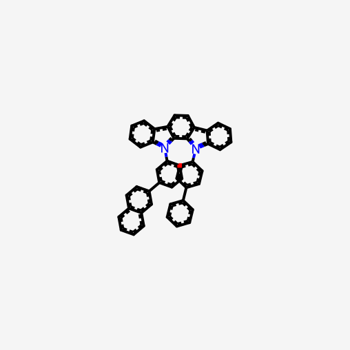 c1ccc(-c2ccc(-n3c4ccccc4c4ccc5c6ccccc6n(-c6cccc(-c7ccc8ccccc8c7)c6)c5c43)cc2)cc1